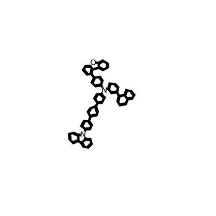 c1cc(-c2cccc3ccccc23)cc(N(c2ccc(-c3ccc(-c4ccc(-n5c6ccccc6c6ccccc65)cc4)cc3)cc2)c2ccc(-c3cccc4oc5ccccc5c34)cc2)c1